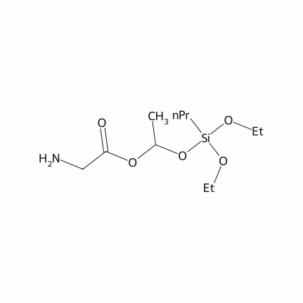 CCC[Si](OCC)(OCC)OC(C)OC(=O)CN